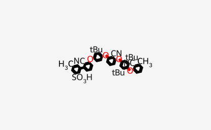 Cc1cc(-c2cccc(Oc3ccc(Oc4cccc(Oc5cc(C(C)(C)C)c(Oc6cccc(C)c6C#N)cc5C(C)(C)C)c4C#N)c(C(C)(C)C)c3)c2C#N)cc(S(=O)(=O)O)c1